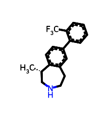 C[C@H]1CNCCc2cc(-c3ccccc3C(F)(F)F)ccc21